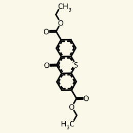 CCOC(=O)c1ccc2c(=O)c3cc(C(=O)OCC)ccc3sc2c1